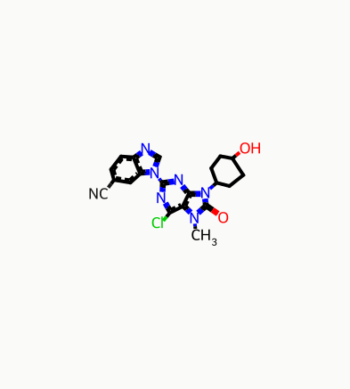 Cn1c(=O)n(C2CCC(O)CC2)c2nc(-n3cnc4ccc(C#N)cc43)nc(Cl)c21